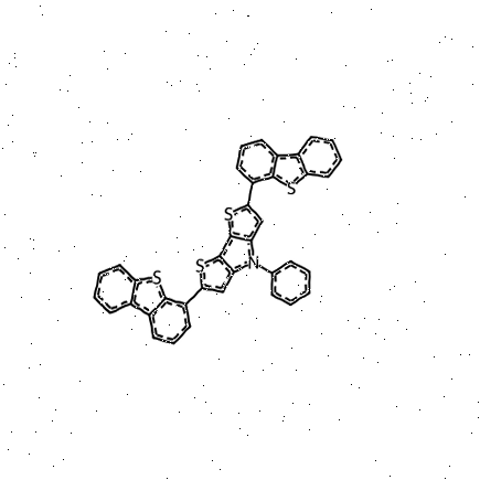 c1ccc(-n2c3cc(-c4cccc5c4sc4ccccc45)sc3c3sc(-c4cccc5c4sc4ccccc45)cc32)cc1